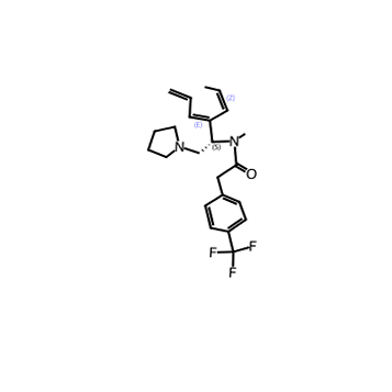 C=C/C=C(\C=C/C)[C@@H](CN1CCCC1)N(C)C(=O)Cc1ccc(C(F)(F)F)cc1